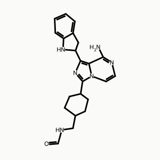 Nc1nccn2c(C3CCC(CNC=O)CC3)nc(C3Cc4ccccc4N3)c12